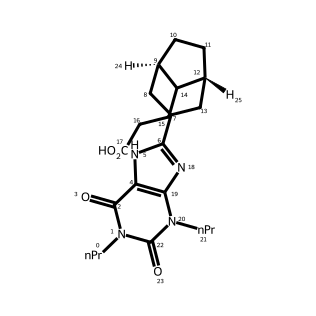 CCCn1c(=O)c2[nH]c(C3C[C@H]4CC[C@H](C3)C4CCC(=O)O)nc2n(CCC)c1=O